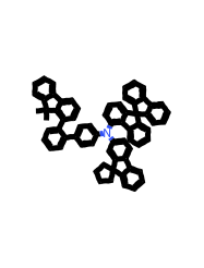 CC1(C)c2ccccc2-c2cccc(-c3ccccc3-c3ccc(N(c4ccc5c(c4)C4(CCCC4)c4ccccc4-5)c4cccc5c4-c4ccccc4C54c5ccccc5-c5ccccc54)cc3)c21